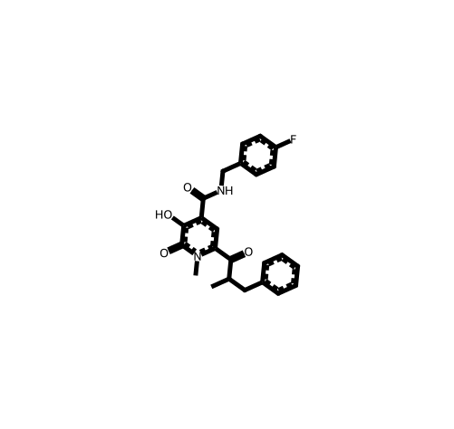 CC(Cc1ccccc1)C(=O)c1cc(C(=O)NCc2ccc(F)cc2)c(O)c(=O)n1C